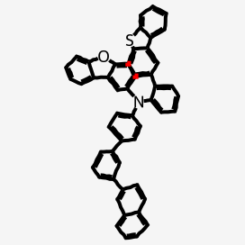 c1cc(-c2ccc(N(c3ccc4oc5ccccc5c4c3)c3ccccc3-c3ccc4sc5ccccc5c4c3)cc2)cc(-c2ccc3ccccc3c2)c1